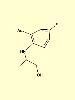 CC(=O)c1cc(F)ccc1NC(C)CO